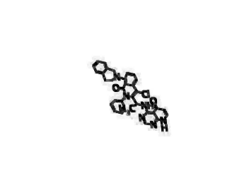 C[C@H](Nc1ncnc2[nH]ccc(=O)c12)c1c(Cl)c2cccc(N3CCc4ccccc4C3)c2c(=O)n1-c1ccccc1